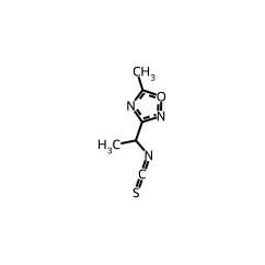 Cc1nc(C(C)N=C=S)no1